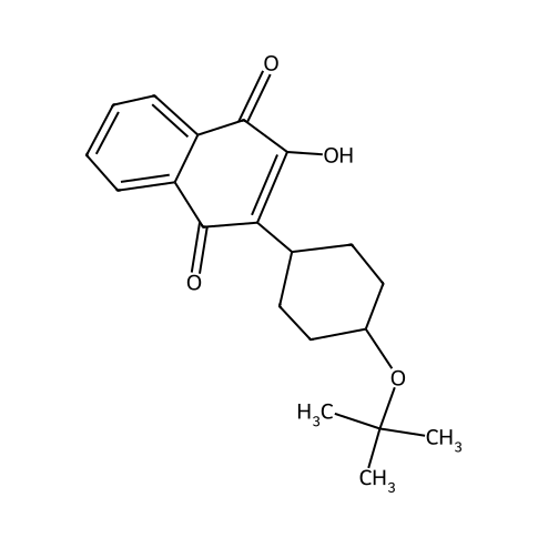 CC(C)(C)OC1CCC(C2=C(O)C(=O)c3ccccc3C2=O)CC1